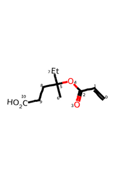 C=CC(=O)OC(C)(CC)CCC(=O)O